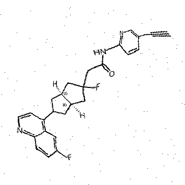 C#Cc1ccc(NC(=O)CC2(F)C[C@H]3CC(c4ccnc5ccc(F)cc45)C[C@H]3C2)nc1